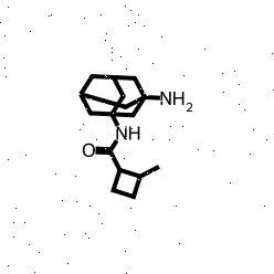 CC1CCC1C(=O)NC12CC3CC(CC(N)(C3)C1)C2